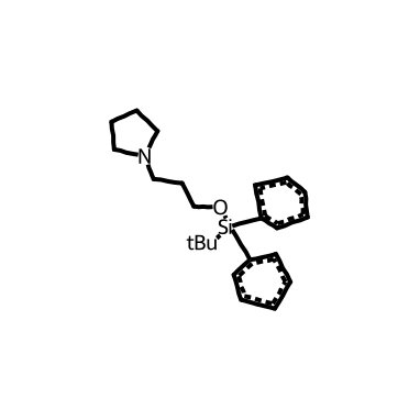 CC(C)(C)[Si](OCCCN1CCCC1)(c1ccccc1)c1ccccc1